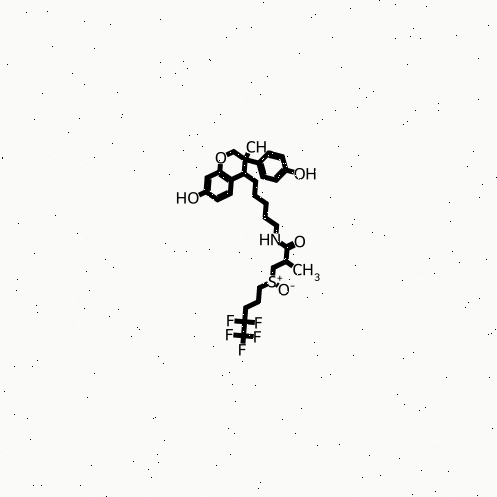 CC(C[S+]([O-])CCCC(F)(F)C(F)(F)F)C(=O)NCCCCCC1c2ccc(O)cc2OCC1(C)c1ccc(O)cc1